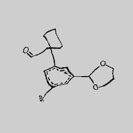 O=CC1(c2cc(Br)cc(C3OCCO3)c2)CCC1